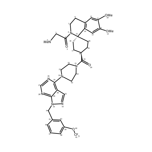 CNCC(=O)N1CCc2cc(OC)c(OC)cc2[C@]12CC[C@H](C(=O)N1CCN(c3ncnc4c3cnn4Cc3cccc(OC(F)(F)F)c3)CC1)CC2